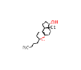 CCC12CCC3=C(CCC(CCCC#N)O3)C1CC[C@H]2O